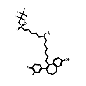 CN(CCCCCCC1=C(c2ccc(F)c(F)c2)CCCc2cc(O)ccc21)CCCCCS(=O)(=O)CC(F)(F)C(F)(F)F